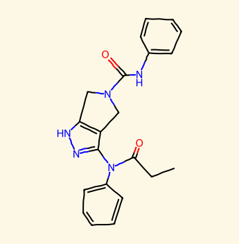 CCC(=O)N(c1ccccc1)c1n[nH]c2c1CN(C(=O)Nc1ccccc1)C2